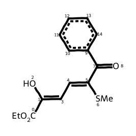 CCOC(=O)C(O)=CC=C(SC)C(=O)c1ccccc1